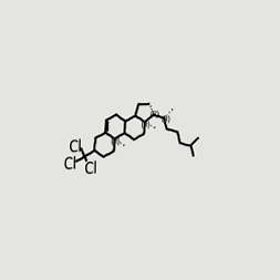 CC(C)CCC[C@@H](C)[C@H]1CCC2C3CC=C4CC(C(Cl)(Cl)Cl)CC[C@]4(C)C3CC[C@@]21C